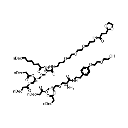 CCCCCCCCCCCC(=O)OC[C@H](CSC[C@H](N)C(=O)NCCc1ccc(OCCOCCO)cc1)OC(=O)CCCCCCCCCCC.CCCCCCCCCCCCCCCC(=O)N[C@@H](CSC[C@@H](COC(=O)CCCCCCCCCCC)OC(=O)CCCCCCCCCCC)C(=O)NCCCOCCOCCOCCCNC(=O)CCC1OCCO1